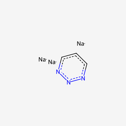 [Na].[Na].[Na].c1cnnnc1